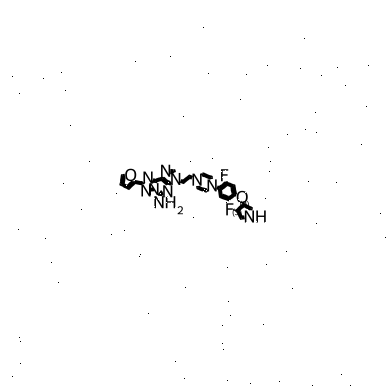 Nc1nc2c(ncn2CCN2CCN(c3ccc(O[C@@H]4CNC[C@@H]4F)cc3F)CC2)c2nc(-c3ccco3)nn12